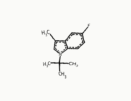 Cc1cn(C(C)(C)C)c2ccc(F)cc12